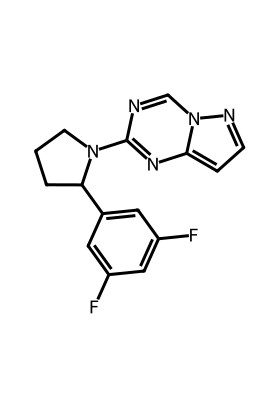 Fc1cc(F)cc(C2CCCN2c2ncn3nccc3n2)c1